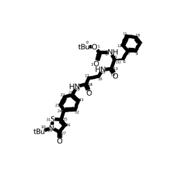 CC(C)(C)OC(=O)N[C@@H](Cc1ccccc1)C(=O)NCCC(=O)Nc1ccc(-c2cc(=O)n(C(C)(C)C)s2)cc1